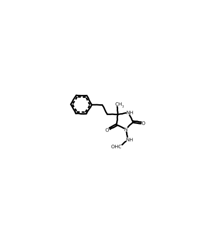 CC1(CCc2ccccc2)NC(=O)N(NC=O)C1=O